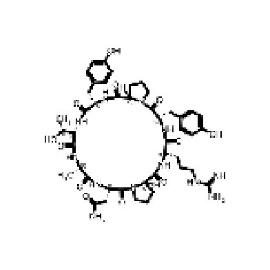 C[C@@H]1NC(=O)[C@H]([C@@H](C)O)NC(=O)[C@H](Cc2ccc(O)cc2)NC(=O)[C@@H]2CCCN2C(=O)[C@H](Cc2ccc(O)cc2)NC(=O)[C@H](CCCNC(=N)N)NC(=O)[C@@H]2CCCN2C(=O)[C@H](CC(N)=O)NC1=O